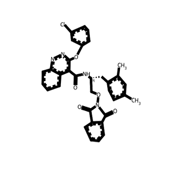 Cc1ccc(C[C@H](CON2C(=O)c3ccccc3C2=O)NC(=O)c2c(Oc3cccc(Cl)c3)nnc3ccccc23)c(C)c1